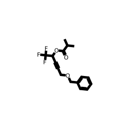 CC(C)C(=O)OC(C#CCOCc1ccccc1)C(F)(F)F